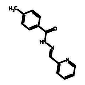 Cc1ccc(C(=O)NN=Cc2ccccn2)cc1